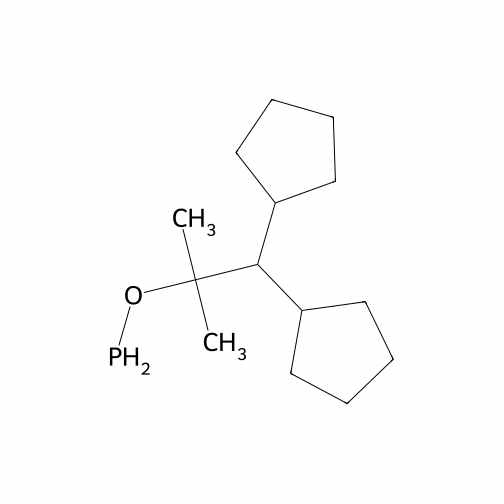 CC(C)(OP)C(C1CCCC1)C1CCCC1